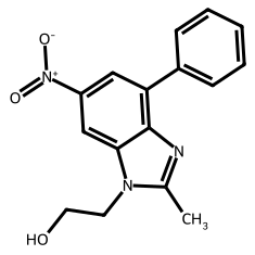 Cc1nc2c(-c3ccccc3)cc([N+](=O)[O-])cc2n1CCO